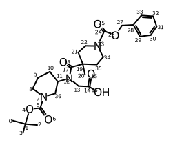 CC(C)(C)OC(=O)N1CCCC(N(CC(=O)O)C(=O)C2(C)CCN(C(=O)OCc3ccccc3)CC2)C1